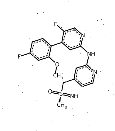 COc1cc(F)ccc1-c1cc(Nc2cc(C[S@](C)(=N)=O)ccn2)ncc1F